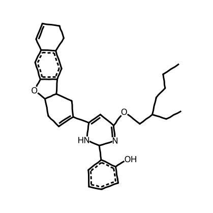 CCCCC(CC)COC1=NC(c2ccccc2O)NC(C2=CCC3Oc4cc5c(cc4C3C2)CCC=C5)=C1